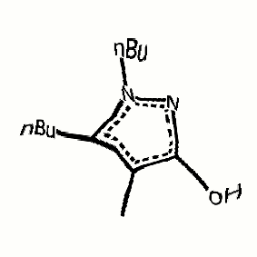 CCCCc1c(C)c(O)nn1CCCC